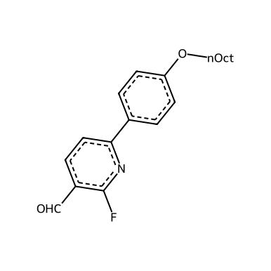 CCCCCCCCOc1ccc(-c2ccc(C=O)c(F)n2)cc1